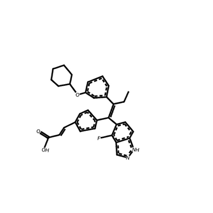 CC/C(=C(/c1ccc(/C=C/C(=O)O)cc1)c1ccc2[nH]ncc2c1F)c1cccc(OC2CCCCC2)c1